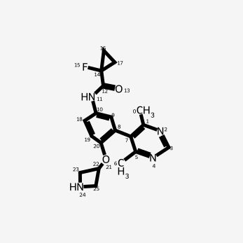 Cc1ncnc(C)c1-c1cc(NC(=O)C2(F)CC2)ccc1OC1CNC1